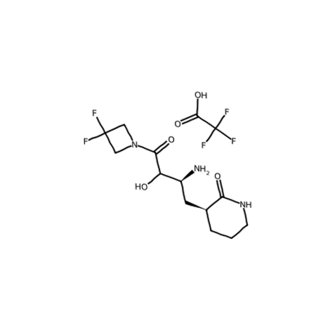 N[C@@H](C[C@@H]1CCCNC1=O)C(O)C(=O)N1CC(F)(F)C1.O=C(O)C(F)(F)F